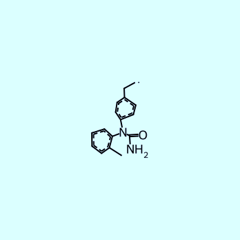 [CH2]Cc1ccc(N(C(N)=O)c2ccccc2C)cc1